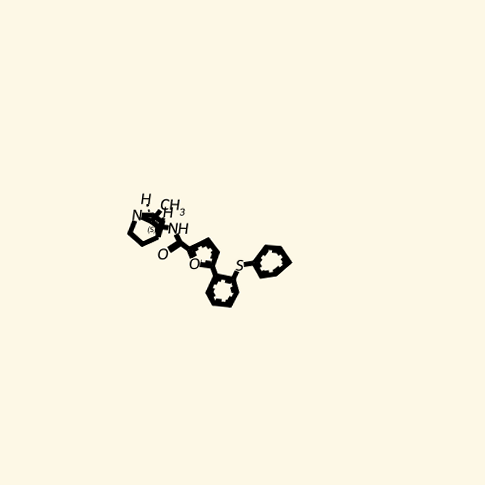 C[C@H]1[C@H](NC(=O)c2ccc(-c3ccccc3Sc3ccccc3)o2)C2CCN1CC2